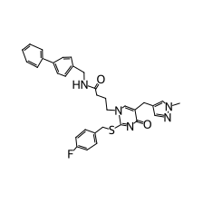 Cn1cc(Cc2cn(CCCC(=O)NCc3ccc(-c4ccccc4)cc3)c(SCc3ccc(F)cc3)nc2=O)cn1